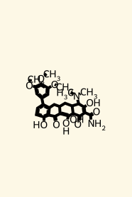 COc1cc(-c2ccc(O)c3c2CC2CC4C(N(C)C)C(O)=C(C(N)=O)C(=O)C4(O)C(O)=C2C3=O)cc(OC)c1OC